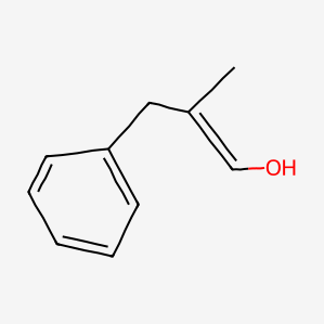 CC(=CO)Cc1ccccc1